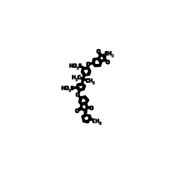 Cc1cccc(N2C(=O)c3ccc(Oc4ccc(C(C)(C)c5ccc(Oc6ccc7c(c6)C(=O)N(C)C7=O)c(S(=O)(=O)O)c5)cc4S(=O)(=O)O)cc3C2=O)c1